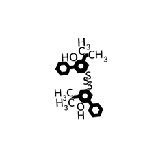 CC(C)c1cc(SSSc2cc(C(C)C)c(O)c(C3CCCCC3)c2)cc(C2CCCCC2)c1O